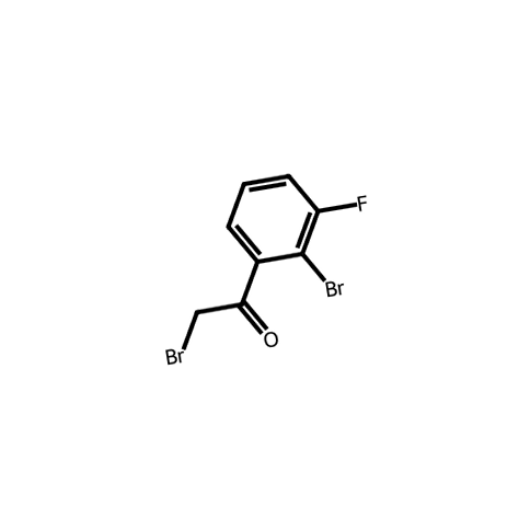 O=C(CBr)c1cccc(F)c1Br